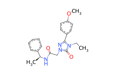 CCn1c(-c2ccc(OC)cc2)nn(CC(=O)N[C@@H](C)c2ccccc2)c1=O